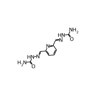 NC(=O)N/N=C/c1cccc(/C=N/NC(N)=O)n1